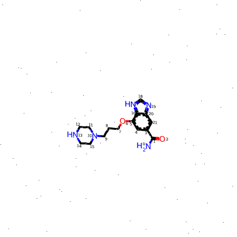 NC(=O)c1cc(OCCCN2CCNCC2)c2[nH]cnc2c1